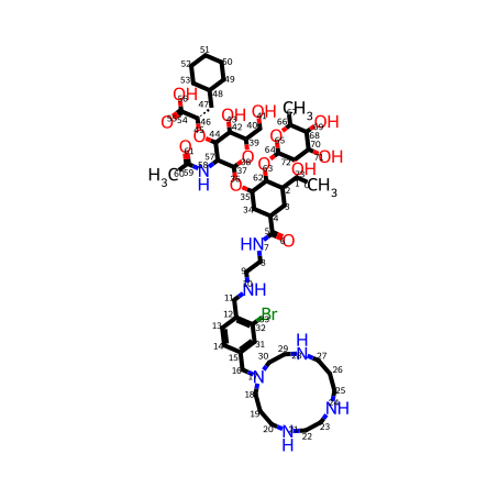 CCC1CC(C(=O)NCCNCc2ccc(CN3CCCNCCNCCCNCC3)cc2Br)CC(OC2OC(CO)C(O)C(O[C@@H](CC3CCCCC3)C(=O)O)C2NC(C)=O)C1OC1OC(C)C(O)C(O)C1O